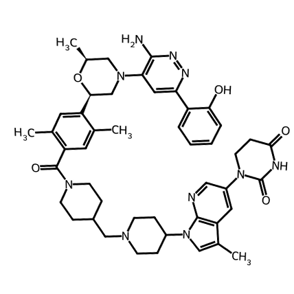 Cc1cc([C@@H]2CN(c3cc(-c4ccccc4O)nnc3N)C[C@H](C)O2)c(C)cc1C(=O)N1CCC(CN2CCC(n3cc(C)c4cc(N5CCC(=O)NC5=O)cnc43)CC2)CC1